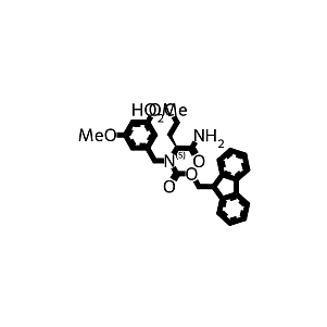 COc1cc(CN(C(=O)OCC2c3ccccc3-c3ccccc32)[C@@H](CCC(=O)O)C(N)=O)cc(OC)c1